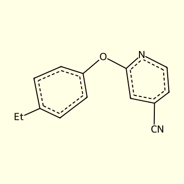 [CH2]Cc1ccc(Oc2cc(C#N)ccn2)cc1